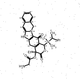 CCC1(OC(=O)CN)C(=O)OC([Si](C)(C)C(C)C(C)C)C2=C1CC1=C(C2=O)N2Cc3ccccc3C=C2N1